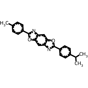 Cc1ccc(-c2nc3cc4oc(-c5ccc(C(C)C)cc5)nc4cc3o2)cc1